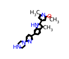 COc1cc(-c2[nH]c3cc(-c4ccc(N5CCNCC5)nc4)ccc3c2C)cc(C)n1